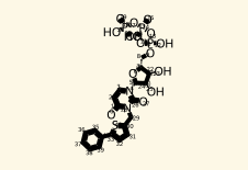 O=c1ccn([C@@H]2O[C@H](COP(=O)(O)OP(=O)(O)OP(=O)(O)O)[C@H](O)[C@@H]2O)c(=O)n1Cc1ccc(-c2ccccc2)s1